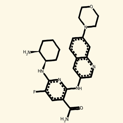 NC(=O)c1cc(F)c(N[C@@H]2CCCC[C@@H]2N)nc1Nc1cnc2cc(N3CCOCC3)ccc2c1